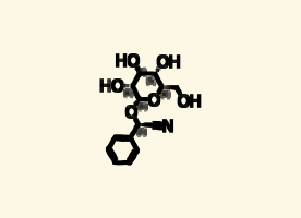 N#C[C@H](O[C@@H]1O[C@H](CO)[C@@H](O)[C@H](O)[C@H]1O)c1ccccc1